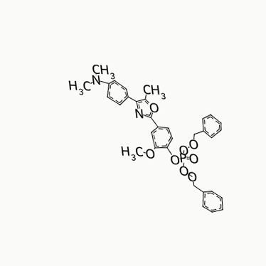 COc1cc(-c2nc(-c3ccc(N(C)C)cc3)c(C)o2)ccc1OP(=O)(OOCc1ccccc1)OOCc1ccccc1